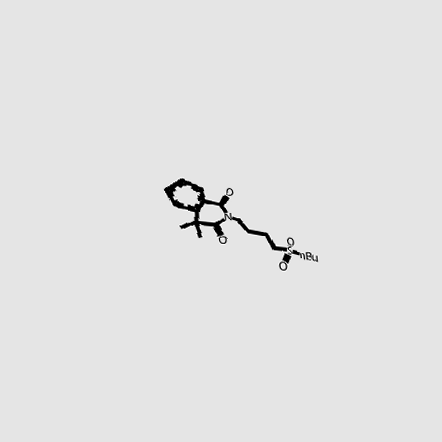 CCCCS(=O)(=O)CCCCN1C(=O)c2ccccc2C(C)(C)C1=O